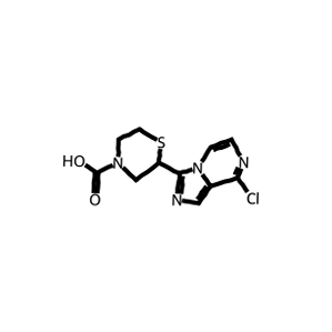 O=C(O)N1CCSC(c2ncc3c(Cl)nccn23)C1